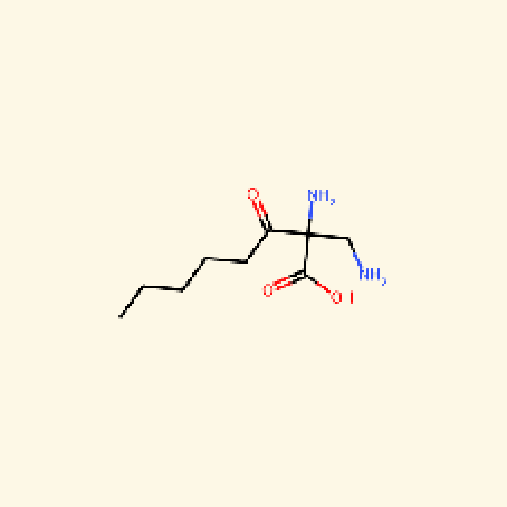 CCCCCC(=O)C(N)(CN)C(=O)O